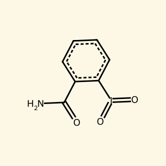 NC(=O)c1ccccc1I(=O)=O